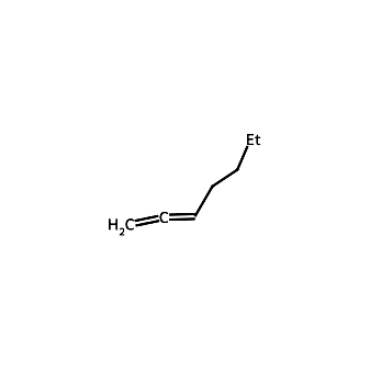 C=C=CCCCC